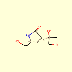 O=C1N[C@H](CO)C[C@@H]1C1(O)COC1